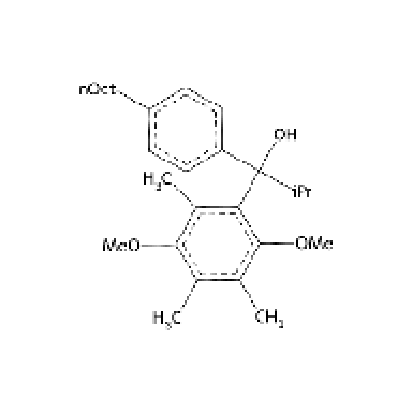 CCCCCCCCc1ccc(C(O)(c2c(C)c(OC)c(C)c(C)c2OC)C(C)C)cc1